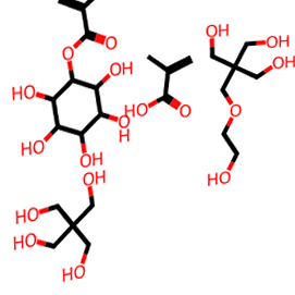 C=C(C)C(=O)O.C=C(C)C(=O)OC1C(O)C(O)C(O)C(O)C1O.OCC(CO)(CO)CO.OCCOCC(CO)(CO)CO